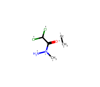 CC(C)=O.CN(N)C(=O)C(Cl)Cl